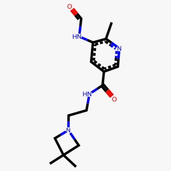 Cc1ncc(C(=O)NCCN2CC(C)(C)C2)cc1NC=O